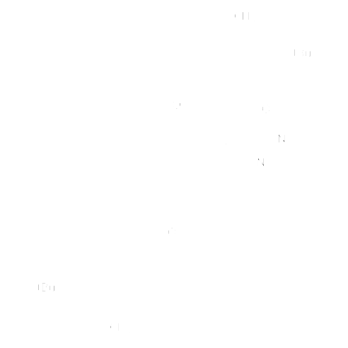 CC(CCOc1ccc(OCCC(C)CC(C)(C)C)c(-c2conn2)c1)CC(C)(C)C